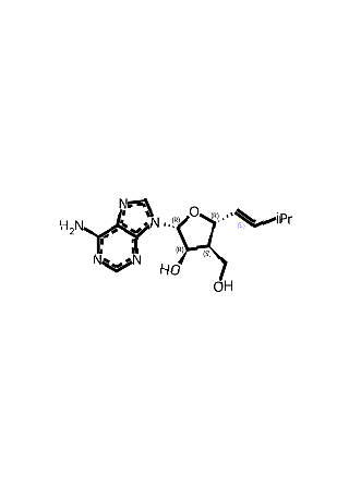 CC(C)/C=C/[C@H]1O[C@@H](n2cnc3c(N)ncnc32)[C@H](O)[C@@H]1CO